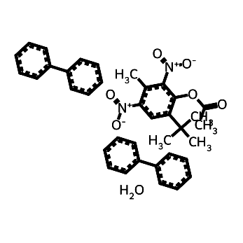 CC(=O)Oc1c(C(C)(C)C)cc([N+](=O)[O-])c(C)c1[N+](=O)[O-].O.c1ccc(-c2ccccc2)cc1.c1ccc(-c2ccccc2)cc1